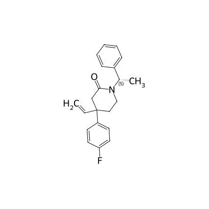 C=CC1(c2ccc(F)cc2)CCN([C@@H](C)c2ccccc2)C(=O)C1